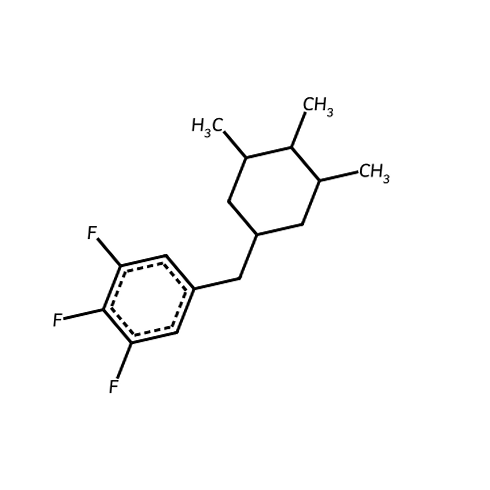 CC1CC(Cc2cc(F)c(F)c(F)c2)CC(C)C1C